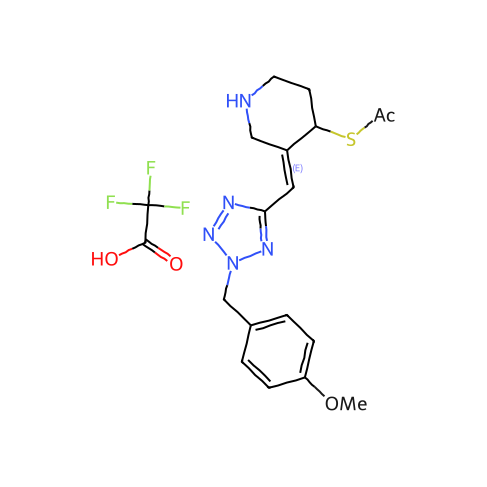 COc1ccc(Cn2nnc(/C=C3\CNCCC3SC(C)=O)n2)cc1.O=C(O)C(F)(F)F